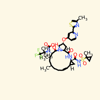 Cc1csc(-c2cc(O[C@@H]3C[C@H]4C(=O)N[C@]5(C(=O)NS(=O)(=O)C6(C)CC6)C[C@H]5/C=C\CC[C@@H](C)C[C@@H](C)[C@H](N(C(=O)O)C(C)(C)C(F)(F)F)C(=O)N4C3)ccn2)n1